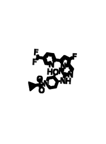 O=S(=O)(C1CC1)N1CC[C@@H](Nc2ncc3c(F)cc(-c4ccc(C(F)F)cn4)n3n2)[C@H](O)C1